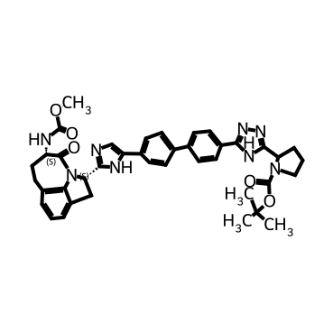 COC(=O)N[C@H]1CCc2cccc3c2N(C1=O)[C@H](c1ncc(-c2ccc(-c4ccc(-c5nnc(C6CCCN6C(=O)OC(C)(C)C)[nH]5)cc4)cc2)[nH]1)C3